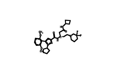 COc1cccc(OC)c1-c1cc(C(=O)N[C@@H](CCN2CCCC(F)(F)C2)CC(=O)NC2CCC2)nn1C1CCCC1